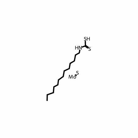 CCCCCCCCCCCCCNC(=S)S.[S]=[Mo]